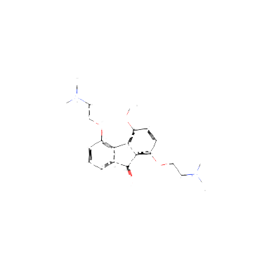 CCCCOc1ccc(OCCN(CC)CC)c2c1-c1c(OCCN(CC)CC)cccc1C2=O